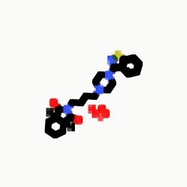 O.O.O=C1[C@H]2CCCC[C@H]2C(=O)N1CCCCN1CCN(c2nsc3ccccc23)CC1